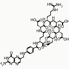 C#CC[C@H](NC(=O)[C@H](CC(=O)O)NC(=O)[C@H](CC(=O)O)NC(=O)[C@H](CCCNC(=N)N)NC(=O)[C@H](CC(=O)O)NC(=O)CC[C@H](NC(=O)c1ccc(NCc2cnc3nc(N)[nH]c(=O)c3n2)cc1)C(=O)O)C(=O)O